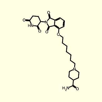 NC(=O)C1CCN(CCCCCCCOc2cccc3c2C(=O)N(C2CCC(=O)NC2=O)C3=O)CC1